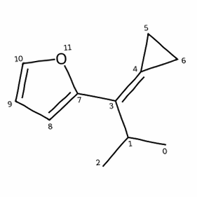 CC(C)C(=C1CC1)c1ccco1